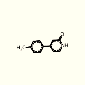 Cc1ccc(-c2cc[nH]c(=O)c2)cc1